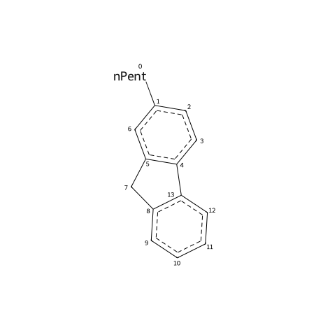 [CH2]CCCCc1ccc2c(c1)Cc1ccccc1-2